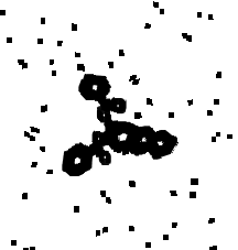 O=C(OC1C2CC(c3cc4ccccc4cc32)C1OC(=O)c1ccccc1)c1ccccc1